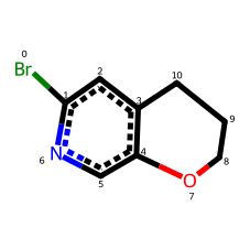 Brc1cc2c(cn1)OCCC2